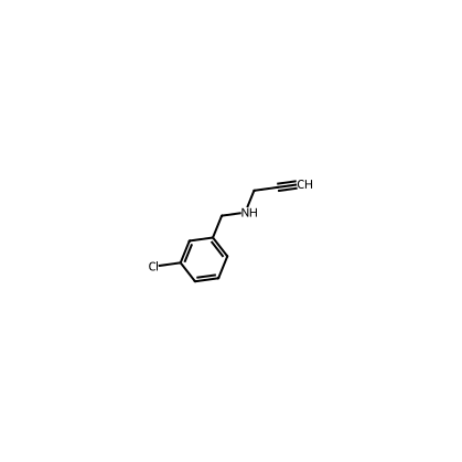 C#CCNCc1cccc(Cl)c1